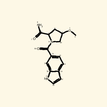 COC1CC(C(N)=O)N(C(=O)c2ccc3cc[nH]c3c2)C1